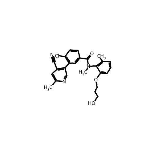 Cc1cc(C#N)c(-c2cc(C(=O)N(C)c3c(C)cccc3OCCCO)ccc2Cl)cn1